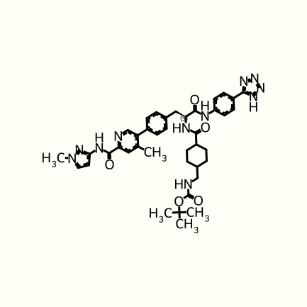 Cc1cc(C(=O)Nc2ccn(C)n2)ncc1-c1ccc(C[C@H](NC(=O)C2CCC(CNC(=O)OC(C)(C)C)CC2)C(=O)Nc2ccc(-c3nnn[nH]3)cc2)cc1